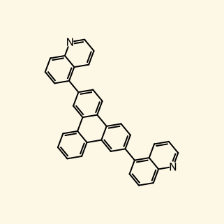 c1cc(-c2ccc3c4ccc(-c5cccc6ncccc56)cc4c4ccccc4c3c2)c2cccnc2c1